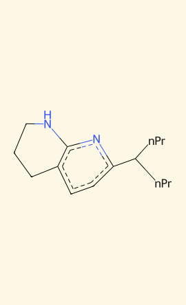 CCCC(CCC)c1ccc2c(n1)NCCC2